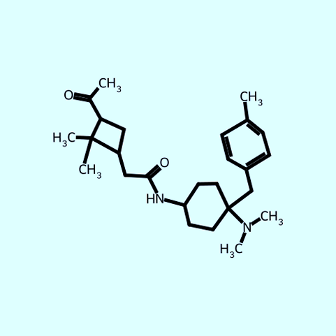 CC(=O)C1CC(CC(=O)NC2CCC(Cc3ccc(C)cc3)(N(C)C)CC2)C1(C)C